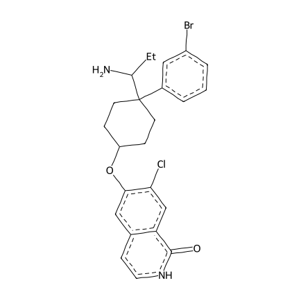 CCC(N)C1(c2cccc(Br)c2)CCC(Oc2cc3cc[nH]c(=O)c3cc2Cl)CC1